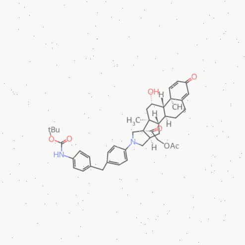 CC(=O)OCC(=O)[C@@]12CN(c3ccc(Cc4ccc(NC(=O)OC(C)(C)C)cc4)cc3)C[C@@H]1C[C@H]1[C@@H]3CCC4=CC(=O)C=C[C@]4(C)[C@H]3[C@@H](O)C[C@@]12C